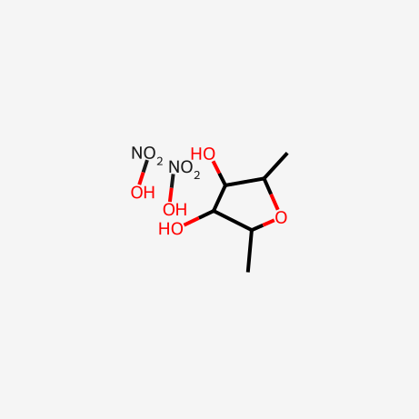 CC1OC(C)C(O)C1O.O=[N+]([O-])O.O=[N+]([O-])O